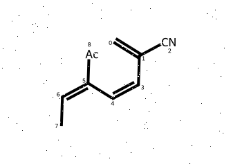 C=C(C#N)/C=C\C(=C/C)C(C)=O